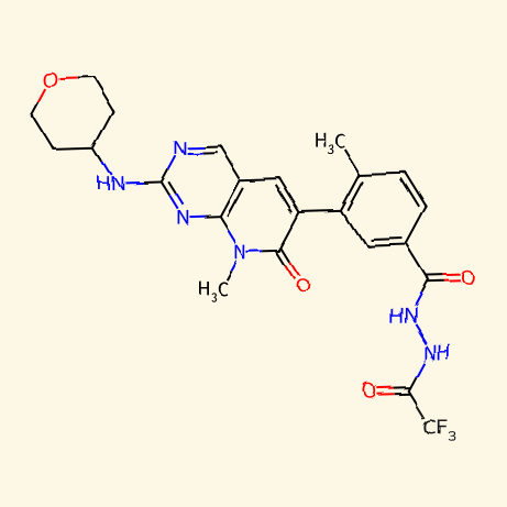 Cc1ccc(C(=O)NNC(=O)C(F)(F)F)cc1-c1cc2cnc(NC3CCOCC3)nc2n(C)c1=O